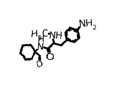 CNC(Cc1ccc(N)cc1)C(=O)NC1(C=O)CCCCC1